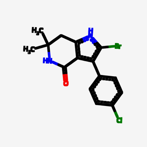 CC1(C)Cc2[nH]c(Br)c(-c3ccc(Cl)cc3)c2C(=O)N1